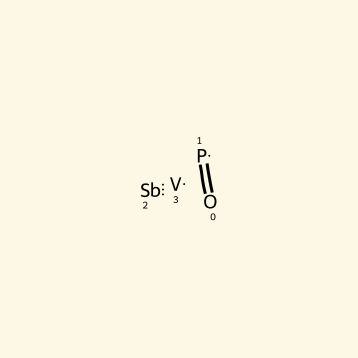 O=[P].[Sb].[V]